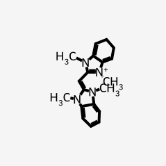 CN1C(=Cc2n(C)c3c([n+]2C)=CCCC=3)N(C)c2ccccc21